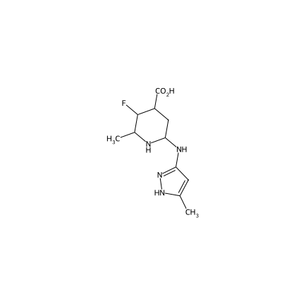 Cc1cc(NC2CC(C(=O)O)C(F)C(C)N2)n[nH]1